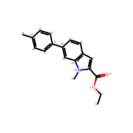 CCOC(=O)c1cc2ccc(-c3ccc(C)cc3)cc2n1C